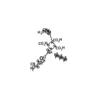 C[N+](C)(C)Cc1cn(CCCCC(C(=O)O)N2CCN(CC(=O)O)CCN(CC(=O)NCCCOc3cccc4c(C(=O)NCC(=O)N5CC(F)(F)CC5C#N)ccnc34)CCN(CC(=O)O)CC2)nn1.F[B-](F)(F)F.F[B-](F)(F)F.F[B-](F)(F)F